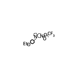 CCOc1ccc(CN2CCCC23CCN(C(=O)OC(C)C(F)(F)F)CC3)cc1